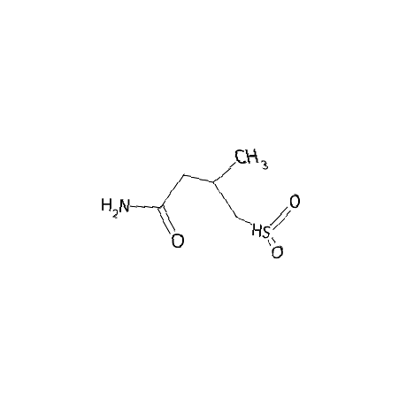 CC(CC(N)=O)C[SH](=O)=O